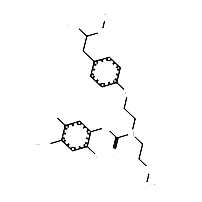 CCCCCOCCN(CCOc1ccc(CC(OCC)C(=O)O)cc1)C(=O)Oc1cc(C)c(C)cc1C